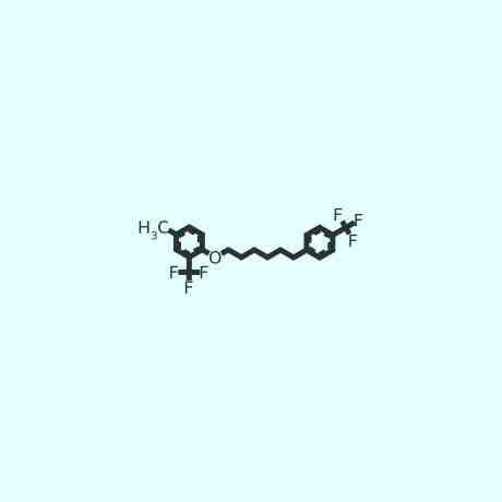 Cc1ccc(OCCCCCCc2ccc(C(F)(F)F)cc2)c(C(F)(F)F)c1